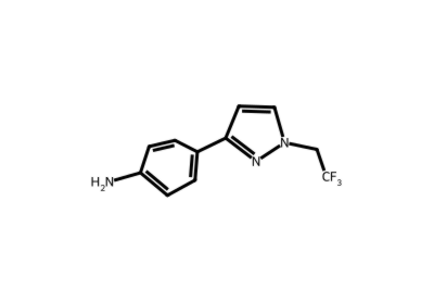 Nc1ccc(-c2ccn(CC(F)(F)F)n2)cc1